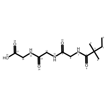 CCC(C)(C)C(=O)NCC(=O)NCC(=O)NCC(=O)O